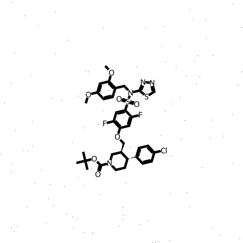 COc1ccc(CN(c2nncs2)S(=O)(=O)c2cc(F)c(OC[C@@H]3CN(C(=O)OC(C)(C)C)CC[C@H]3c3ccc(Cl)cc3)cc2F)c(OC)c1